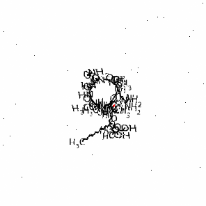 C/C=C(/NC(=O)CC(CCCCCCCCCCC)OC1OC(CO)C(O)C(O)C1O)C(=O)NC1C(=O)NC(C(C)O)C(=O)NC(CC(C)C)C(=O)NCC(=O)NC(CCC(N)=O)C(=O)NCC(=O)N(C)C(C(C)O)C(=O)NC(CCCN=C(N)N)C(=O)OC1C